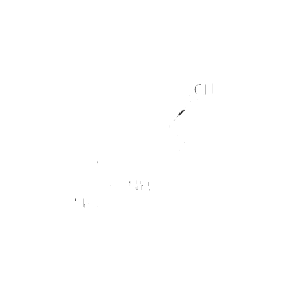 C#C[C@H]1CC[C@H](NC(=O)O)CC1